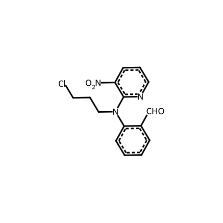 O=Cc1ccccc1N(CCCCl)c1ncccc1[N+](=O)[O-]